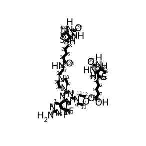 Nc1ncc(-c2nc(N3CCOCC3)nc(N3CCN(CCNC(=O)CCCC[C@@H]4SC[C@@H]5NC(=O)N[C@@H]54)CC3)n2)c(C(F)(F)F)n1.O=C(O)CCCC[C@@H]1SC[C@@H]2NC(=O)N[C@@H]21